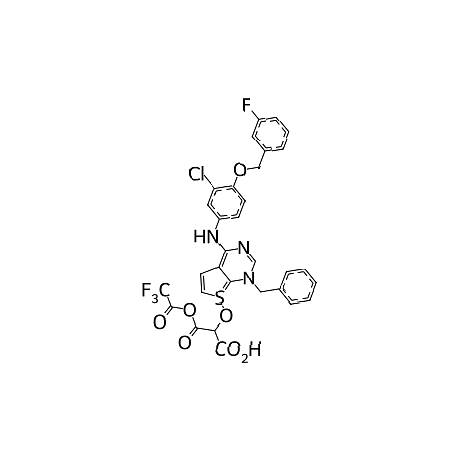 O=C(O)C(OS1=C2C(=C(Nc3ccc(OCc4cccc(F)c4)c(Cl)c3)N=CN2Cc2ccccc2)C=C1)C(=O)OC(=O)C(F)(F)F